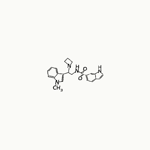 Cn1cc(C(CNS(=O)(=O)c2ccc3cc[nH]c3c2)N2CCC2)c2ccccc21